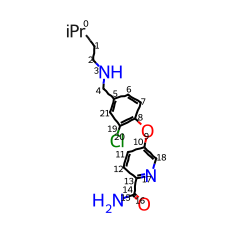 CC(C)CCNCc1ccc(Oc2ccc(C(N)=O)nc2)c(Cl)c1